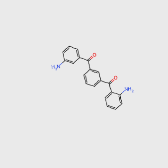 Nc1cccc(C(=O)c2cccc(C(=O)c3ccccc3N)c2)c1